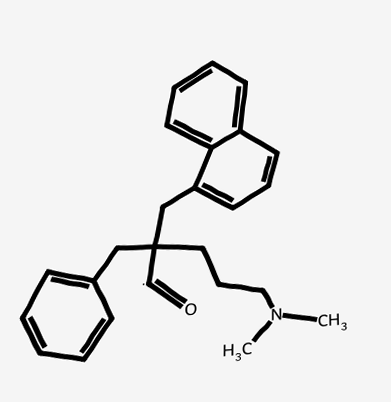 CN(C)CCCC([C]=O)(Cc1ccccc1)Cc1cccc2ccccc12